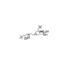 C[N+](C)(C)CC(O)CNCCN(CCC[Si](O)(O)O)CC(O)C[N+](C)(C)C